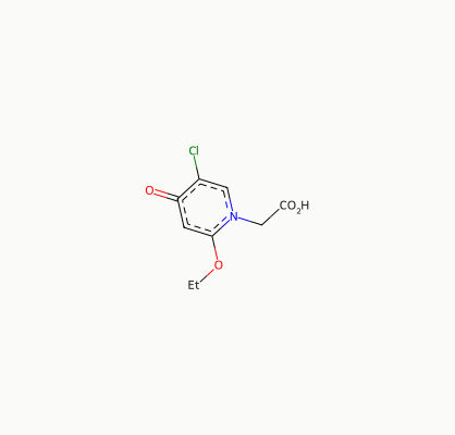 CCOc1cc(=O)c(Cl)cn1CC(=O)O